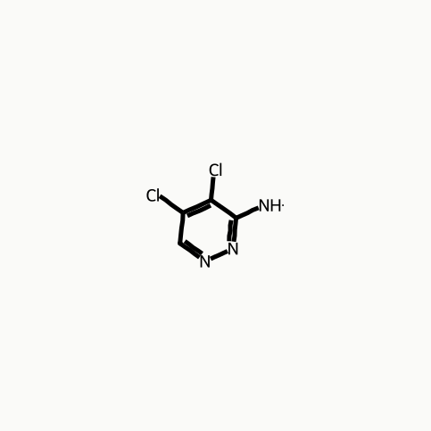 [NH]c1nncc(Cl)c1Cl